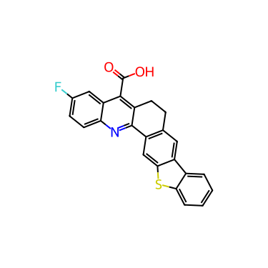 O=C(O)c1c2c(nc3ccc(F)cc13)-c1cc3sc4ccccc4c3cc1CC2